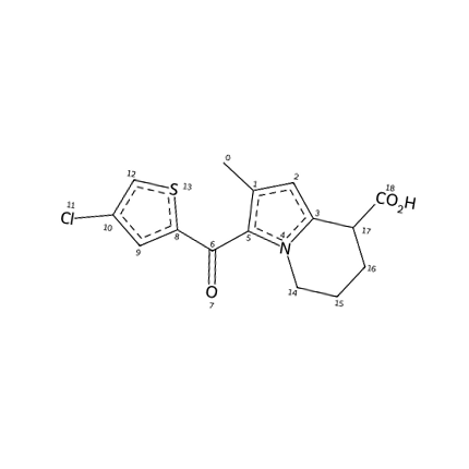 Cc1cc2n(c1C(=O)c1cc(Cl)cs1)CCCC2C(=O)O